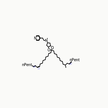 CCCCC/C=C\CC(C)CCCCCCCCC1(CCCCCCCC/C=C\C=C\CCCCC)OC2CC(N(C)CCc3ccncc3)CC2O1